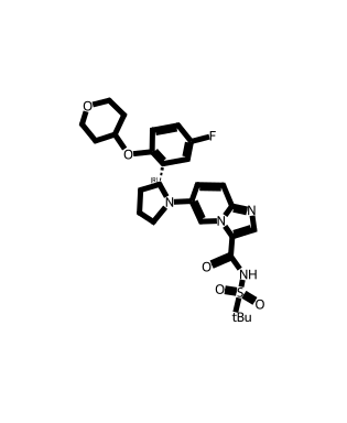 CC(C)(C)S(=O)(=O)NC(=O)c1cnc2ccc(N3CCC[C@@H]3c3cc(F)ccc3OC3CCOCC3)cn12